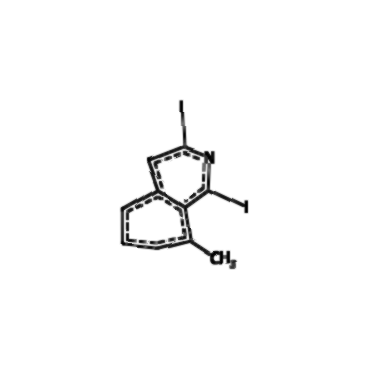 Cc1cccc2cc(I)nc(I)c12